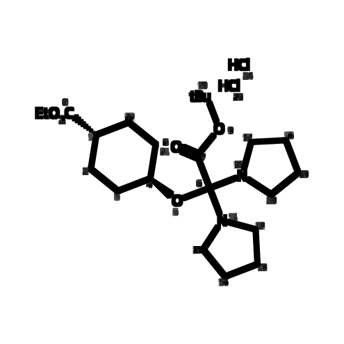 CCOC(=O)[C@H]1CC[C@H](OC(C(=O)OC(C)(C)C)(N2CCCC2)N2CCCC2)CC1.Cl.Cl